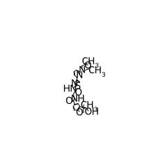 CC1CN(c2cccc(-c3csc(NC(=O)CNC(=O)c4ccc5c(c4)C(C)(CO)CO5)n3)n2)CC(C)O1